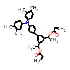 C=CC(=O)OC(C)c1cc(-c2ccc(N(c3ccc(C)c(C)c3)c3ccc(C)c(C)c3)cc2)cc(C(C)OC(=O)C=C)c1